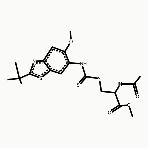 COC(=O)C(CSC(=S)Nc1cc2sc(C(C)(C)C)nc2cc1OC)NC(C)=O